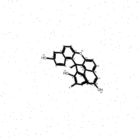 CC1(c2cc(I)cc(I)c2O)c2c(ccc3cc(O)ccc23)Oc2ccc3cc(O)ccc3c21